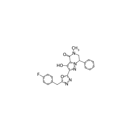 CN1CC(c2ccccc2)n2nc(-c3nnc(Cc4ccc(F)cc4)o3)c(O)c2C1=O